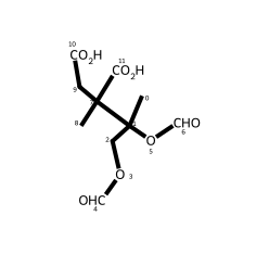 CC(COC=O)(OC=O)C(C)(CC(=O)O)C(=O)O